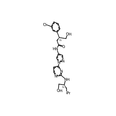 CC(C)C[C@@H](CO)Nc1nccc(-n2cc(NC(=O)C[C@H](CO)c3cccc(Cl)c3)cn2)n1